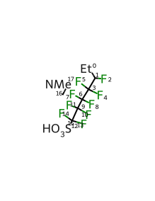 CCC(F)C(F)(F)C(F)(F)C(F)(F)C(F)(F)S(=O)(=O)O.CNC